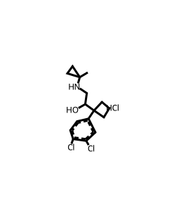 CC1(NCC(O)C2(c3ccc(Cl)c(Cl)c3)CCC2)CC1.Cl